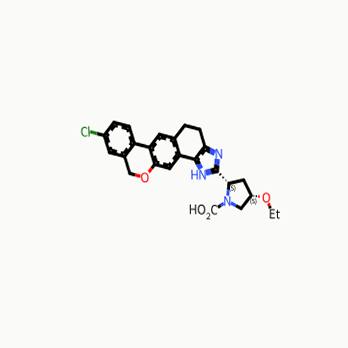 CCO[C@H]1C[C@@H](c2nc3c([nH]2)-c2cc4c(cc2CC3)-c2ccc(Cl)cc2CO4)N(C(=O)O)C1